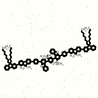 CCCCCCCCC1(CCCCCCCC)c2ccccc2-c2ccc(-c3ccc4c(c3)C(C)(C)c3cc(-c5ccc(-c6cc([SiH](C)C)c(-c7ccc8c(c7)[Si](C)(C)c7cc(-c9ccc(-c%10ccc%11c(c%10)C(C)(C)c%10cc(-c%12ccc%13c(c%12)C(CCCCCCCC)(CCCCCCCC)c%12ccccc%12-%13)ccc%10-%11)cc9)c9oc%10ccccc%10c9c7-8)c7c6oc6ccccc67)cc5)ccc3-4)cc21